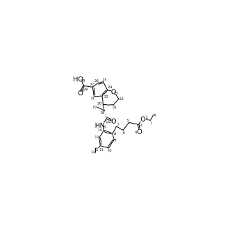 CCOC(=O)CCCc1ccc(F)cc1NC(=O)[C@@H]1C[C@]12CCOc1ccc(C(=O)O)cc12